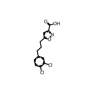 O=C(O)c1cc(CCCc2ccc(Cl)c(Cl)c2)on1